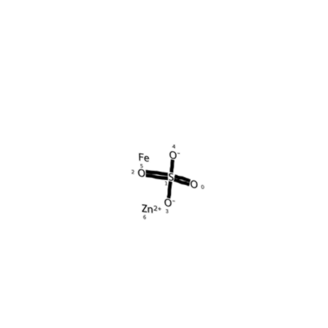 O=S(=O)([O-])[O-].[Fe].[Zn+2]